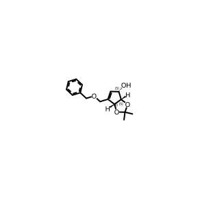 CC1(C)O[C@@H]2[C@H](O1)C(COCc1ccccc1)=C[C@@H]2O